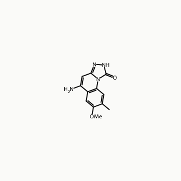 COc1cc2c(N)cc3n[nH]c(=O)n3c2cc1C